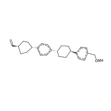 C=C[C@H]1CC[C@H](c2ccc([C@H]3CC[C@H](c4ccc(COC)cc4)CC3)cc2)CC1